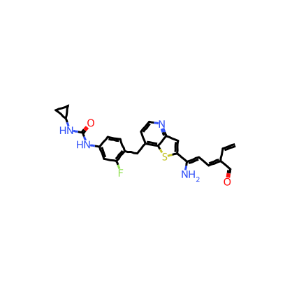 C=C/C(C=O)=C\C=C(/N)c1cc2nccc(Cc3ccc(NC(=O)NC4CC4)cc3F)c2s1